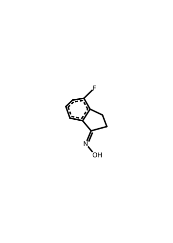 ON=C1CCc2c(F)cccc21